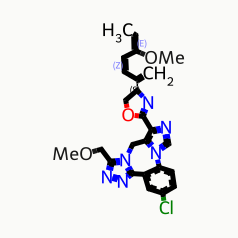 C=C(/C=C\C(=C/C)OC)[C@H]1COC(c2ncn3c2Cn2c(COC)nnc2-c2cc(Cl)ccc2-3)=N1